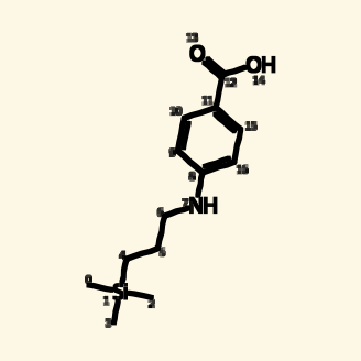 C[Si](C)(C)CCCNc1ccc(C(=O)O)cc1